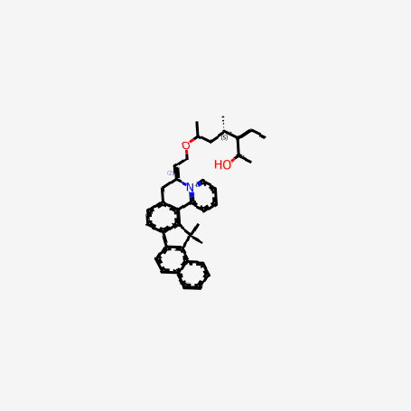 CCC(C(C)O)[C@@H](C)CC(C)OC/C=C1/Cc2ccc3c(c2-c2cccc[n+]21)C(C)(C)c1c-3ccc2ccccc12